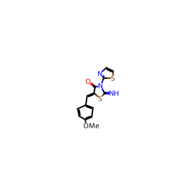 COc1ccc(/C=C2\SC(=N)N(c3nccs3)C2=O)cc1